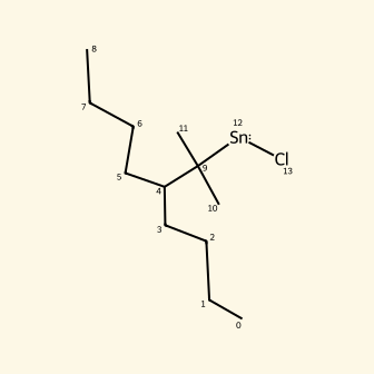 CCCCC(CCCC)[C](C)(C)[Sn][Cl]